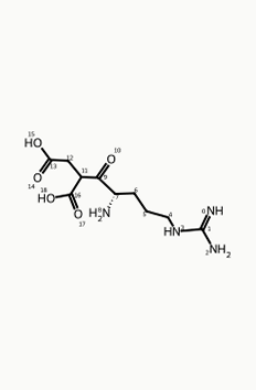 N=C(N)NCCC[C@H](N)C(=O)C(CC(=O)O)C(=O)O